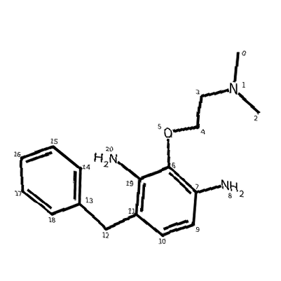 CN(C)CCOc1c(N)ccc(Cc2ccccc2)c1N